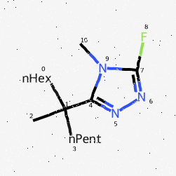 CCCCCCC(C)(CCCCC)c1nnc(F)n1C